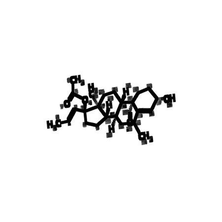 CC=C[C@@]1(OC(C)=O)CC[C@H]2[C@@H]3CC(C)C4=C[C@@H](O)CC[C@]4(C=O)[C@H]3CC[C@@]21C